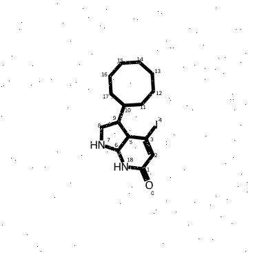 O=C1C=C(I)C2C(NCC2C2CCCCCCC2)N1